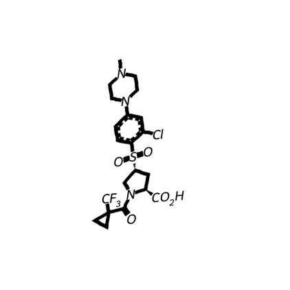 CN1CCN(c2ccc(S(=O)(=O)[C@@H]3C[C@@H](C(=O)O)N(C(=O)C4(C(F)(F)F)CC4)C3)c(Cl)c2)CC1